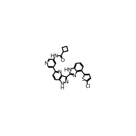 O=C(Nc1cncc(-c2ccc3[nH]nc(-c4nc5c(-c6ccc(Cl)s6)cccc5[nH]4)c3n2)c1)C1CCC1